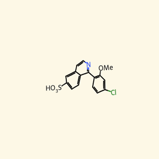 COc1cc(Cl)ccc1-c1nccc2cc(S(=O)(=O)O)ccc12